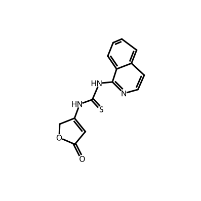 O=C1C=C(NC(=S)Nc2nccc3ccccc23)CO1